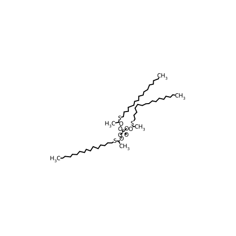 CCCCCCCCCCCCCCCCSC(C)OOP(=O)(OOC(C)SCCCCCCCCCCCCCCCC)OOC(C)SCCCCCCCCCCCCCCCC